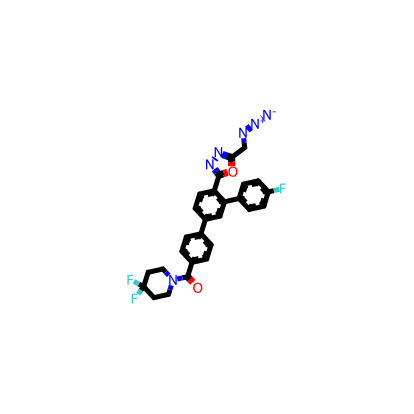 [N-]=[N+]=NCc1nnc(-c2ccc(-c3ccc(C(=O)N4CCC(F)(F)CC4)cc3)cc2-c2ccc(F)cc2)o1